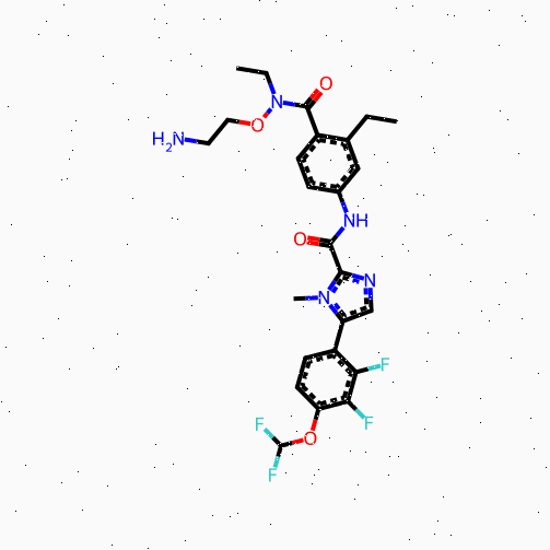 CCc1cc(NC(=O)c2ncc(-c3ccc(OC(F)F)c(F)c3F)n2C)ccc1C(=O)N(CC)OCCN